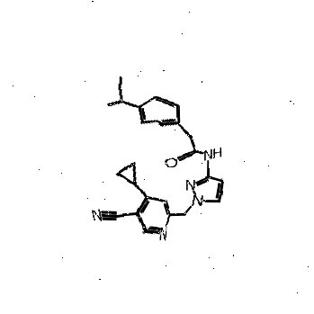 CC(C)c1ccc(CC(=O)Nc2ccn(Cc3cc(C4CC4)c(C#N)cn3)n2)cc1